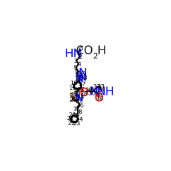 O=C(O)NCCCCc1cn(-c2ccc(-c3nc(C=CCc4ccccc4)cs3)c(OCCN3CCNC3=O)c2)nn1